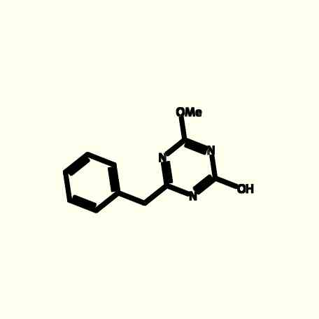 COc1nc(O)nc(Cc2ccccc2)n1